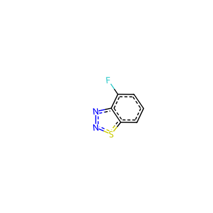 Fc1cccc2snnc12